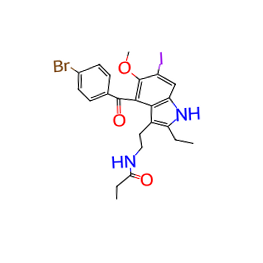 CCC(=O)NCCc1c(CC)[nH]c2cc(I)c(OC)c(C(=O)c3ccc(Br)cc3)c12